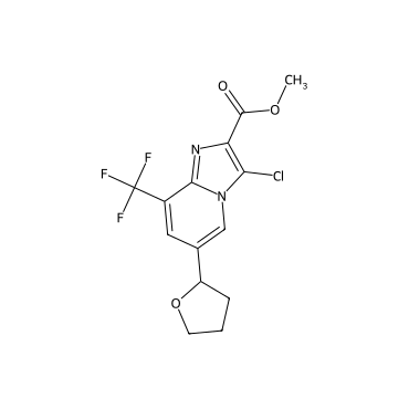 COC(=O)c1nc2c(C(F)(F)F)cc(C3CCCO3)cn2c1Cl